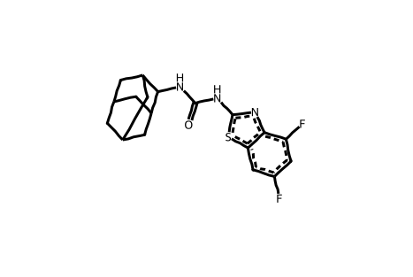 O=C(Nc1nc2c(F)cc(F)cc2s1)NC1C2CC3CC(C2)CC1C3